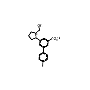 Cc1ccc(-c2cc(C(=O)O)cc(N3CCC[C@H]3CO)c2)cc1